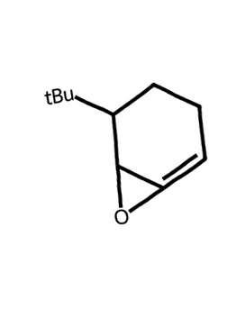 CC(C)(C)C1CCC=C2OC21